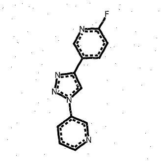 Fc1ccc(-c2cn(-c3cccnc3)nn2)cn1